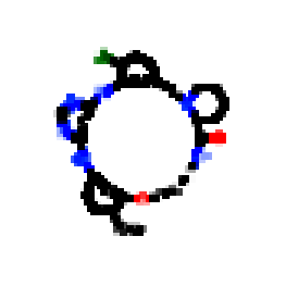 COc1ccc2cc1OCCCNC(=O)C1CCCCN1Cc1ccc(Cl)c(c1)Nc1cc(ncn1)N2